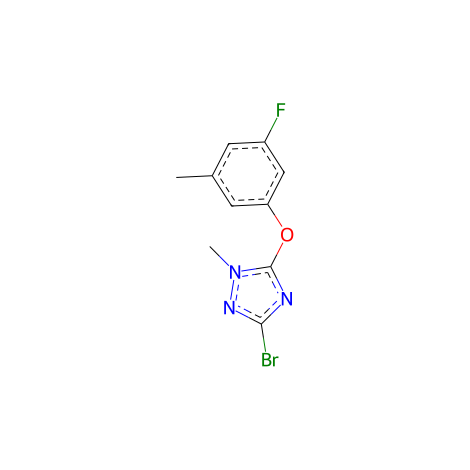 Cc1cc(F)cc(Oc2nc(Br)nn2C)c1